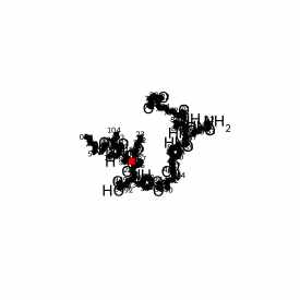 CCCCN(C)CC(=O)N[C@H](C(=O)N(CCC)[C@H](C[C@@H](OCCC)c1nc(C(=O)N[C@@H](Cc2ccc(OC(=O)N(C)CCN(C)C(=O)OCc3ccc(NC(=O)[C@@H](CCCNC(N)=O)NC(=O)[C@H](NC(=O)CCCCCN4C(=O)C=CC4=O)C(C)C)cc3)cc2)C[C@H](C)C(=O)O)cs1)C(C)C)[C@@H](C)CC